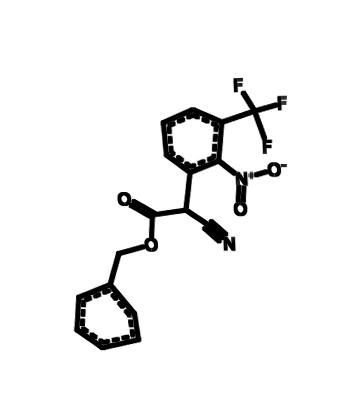 N#CC(C(=O)OCc1ccccc1)c1cccc(C(F)(F)F)c1[N+](=O)[O-]